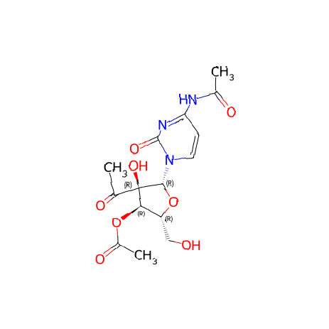 CC(=O)Nc1ccn([C@@H]2O[C@H](CO)[C@@H](OC(C)=O)[C@]2(O)C(C)=O)c(=O)n1